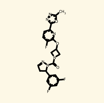 Cc1nnc(-c2ccc(F)c(OC3CN(C(=O)N4N=CCC4c4cc(F)cc(F)c4)C3)n2)o1